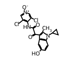 Cc1c(C(=O)C(=O)Nc2c(Cl)c[n+]([O-])cc2Cl)c2cc(O)ccc2n1C1CC1